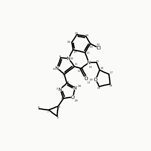 CC1CC1c1nc(-c2ncn3c2c(=O)n(CC2CCCO2)c2c(Cl)cccc23)no1